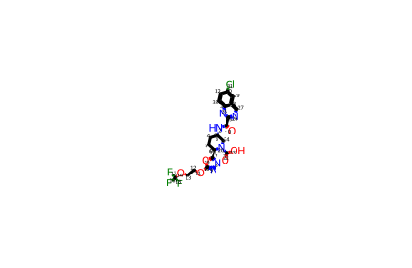 O=C(N[C@H]1CC[C@H](c2nnc(OCCOC(F)(F)F)o2)N(C(=O)O)C1)c1ncc2cc(Cl)ccc2n1